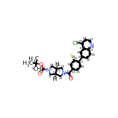 CC(C)(C)OC(=O)N1C[C@@H]2CN(C(=O)c3ccc(-c4ccc5nccc(Cl)c5c4)c(F)c3)C[C@@H]2C1